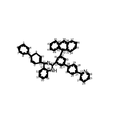 C1=CC(c2ccccc2)CC=C1C1=NC(c2cc(-c3ccc(-c4ccccn4)cc3)cc(-c3c4ccccc4cc4ccccc34)c2)Nc2ccccc21